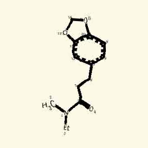 CCN(C)C(=O)CCc1ccc2c(c1)OCO2